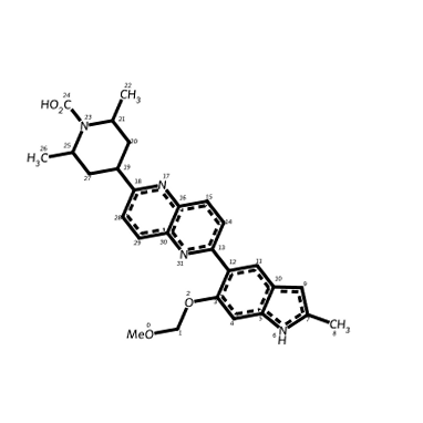 COCOc1cc2[nH]c(C)cc2cc1-c1ccc2nc(C3CC(C)N(C(=O)O)C(C)C3)ccc2n1